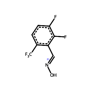 O/N=C/c1c(C(F)(F)F)ccc(F)c1F